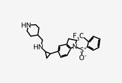 [O-][S+](c1ccccc1C(F)(F)F)N1CCc2cc(C3CC3NCC3CCNCC3)ccc21